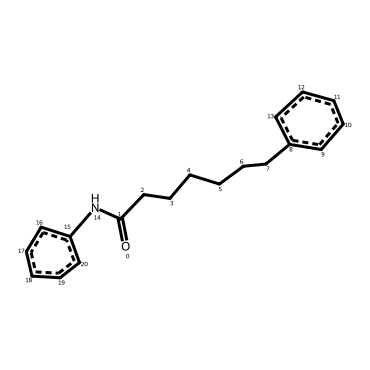 O=C(CCCCCCc1ccccc1)Nc1ccccc1